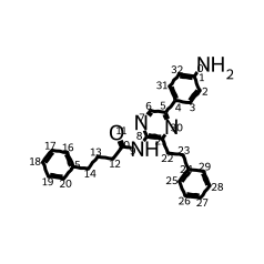 Nc1ccc(-c2cnc(NC(=O)CCCc3ccccc3)c(CCc3ccccc3)n2)cc1